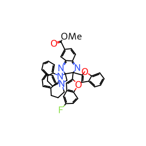 COC(=O)c1ccc2c(c1)=NC(CN1CCCc3ccccc31)(N1CCCc3ccccc31)C(c1cc3ccccc3o1)(c1cc3cc(F)ccc3o1)N=2